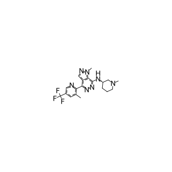 Cc1cc(C(F)(F)F)cnc1-c1nnc(N[C@@H]2CCCN(C)C2)c2c1cnn2C